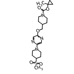 CC1(OC(=O)N2CCC(COc3cnc(N4CCC(S(C)(=O)=O)CC4)cn3)CC2)CC1